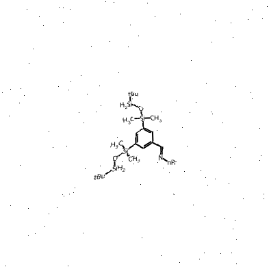 CCCN=Cc1cc([Si](C)(C)O[SiH2]C(C)(C)C)cc([Si](C)(C)O[SiH2]C(C)(C)C)c1